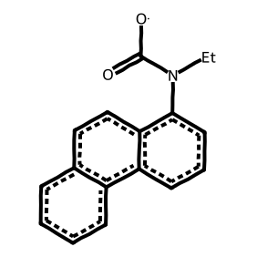 CCN(C([O])=O)c1cccc2c1ccc1ccccc12